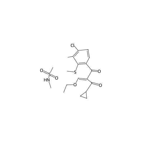 CCOC=C(C(=O)c1ccc(Cl)c(C)c1SC)C(=O)C1CC1.CNS(C)(=O)=O